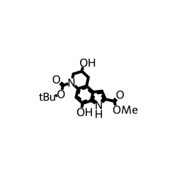 COC(=O)c1cc2c3c(cc(O)c2[nH]1)N(C(=O)OC(C)(C)C)CC(O)C3